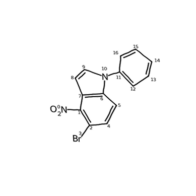 O=[N+]([O-])c1c(Br)ccc2c1ccn2-c1ccccc1